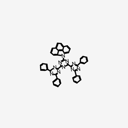 c1ccc(-c2nc(-c3ccccc3)nc(-c3nc(-c4nc(-c5ccccc5)nc(-c5ccccc5)n4)nc(-n4c5cccc6ccc7cccc4c7c65)n3)n2)cc1